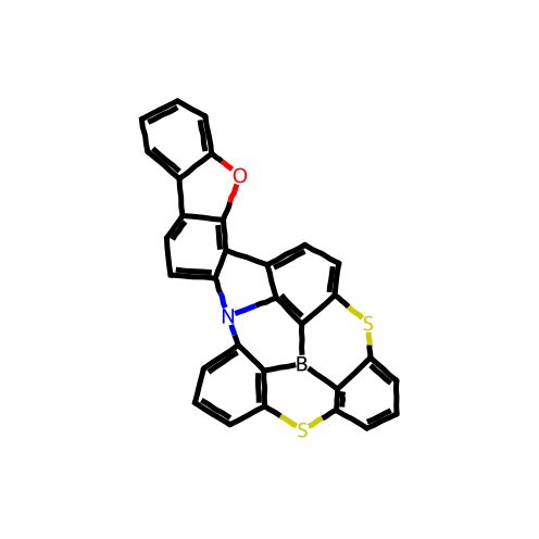 c1cc2c3c(c1)Sc1ccc4c5c6oc7ccccc7c6ccc5n5c4c1B3c1c(cccc1-5)S2